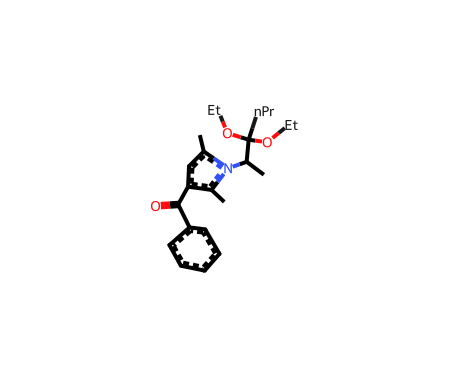 CCCC(OCC)(OCC)C(C)n1c(C)cc(C(=O)c2ccccc2)c1C